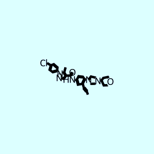 CC#Cc1cc(NC(=O)c2cnn(-c3ccc(Cl)cc3)c2C)ccc1N1CCN(C2CCOCC2)CC1